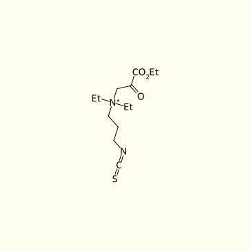 CCOC(=O)C(=O)C[N+](CC)(CC)CCCN=C=S